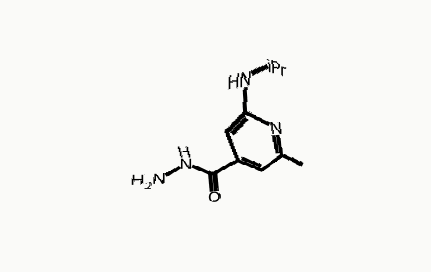 Cc1cc(C(=O)NN)cc(NC(C)C)n1